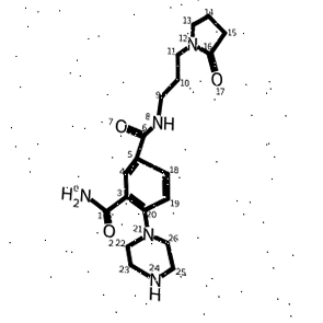 NC(=O)c1cc(C(=O)NCCCN2CCCC2=O)ccc1N1CCNCC1